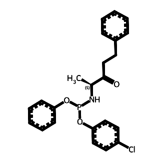 C[C@H](NP(Oc1ccccc1)Oc1ccc(Cl)cc1)C(=O)CCc1ccccc1